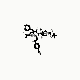 CC(Cl)=CCC1(Cc2ccncc2)NC(=CC(=O)c2ccc(C#N)cc2)N([C@H]2[C@@H]3CN(C(=O)OC(C)(C)C)C[C@@H]32)C1=O